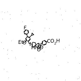 CCOc1cc(-c2ccc(F)cc2)c(C2CC2)cc1CN1CCC2(CC1)CN(c1ccc(C(=O)O)cc1)S(=O)(=O)N2